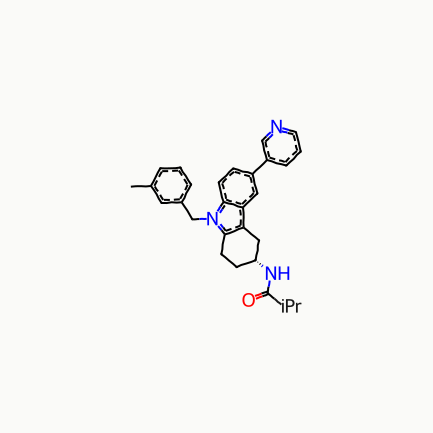 Cc1cccc(Cn2c3c(c4cc(-c5cccnc5)ccc42)C[C@H](NC(=O)C(C)C)CC3)c1